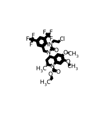 CCOC(=O)N1c2cc(OC)c(OC)cc2[C@@H](N(Cc2cc(C(F)(F)F)cc(C(F)(F)F)c2)C(=O)NCCCl)C[C@H]1C